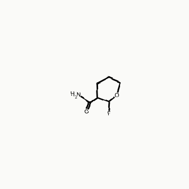 NC(=O)C1CCCOC1F